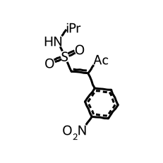 CC(=O)C(=CS(=O)(=O)NC(C)C)c1cccc([N+](=O)[O-])c1